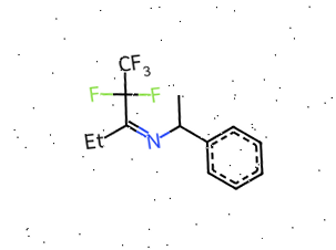 CCC(=NC(C)c1ccccc1)C(F)(F)C(F)(F)F